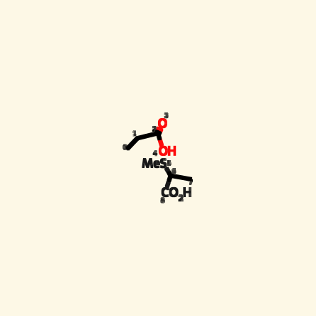 CCC(=O)O.CSC(C)C(=O)O